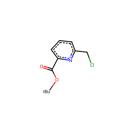 CC(C)(C)OC(=O)c1cccc(CCl)n1